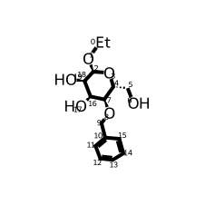 CCO[C@H]1O[C@H](CO)[C@@H](OCc2ccccc2)[C@@H](O)[C@H]1O